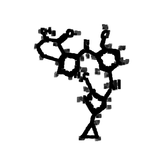 CN1CCc2cccc(Nc3cc(Nc4cc(C5CC5)nn4C)ncc3Cl)c2C1=O